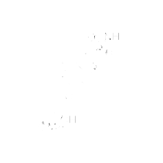 COCC(O)COc1ccc2cc(S(N)(=O)=O)sc2c1